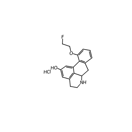 Cl.Oc1cc2c3c(c1)-c1c(cccc1OCCF)CC3NCC2